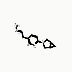 O/N=C/Cc1ccc(N2CC3CC3C2)nc1